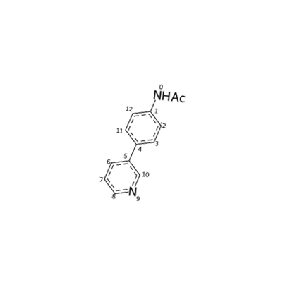 CC(=O)Nc1[c]cc(-c2cccnc2)cc1